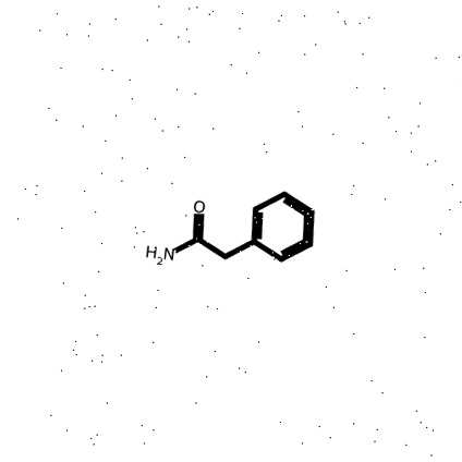 NC(=O)CC1=CC=C=C=C1